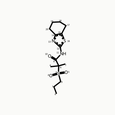 CCCS(=O)(=O)C(C)(C)C(=O)Nc1nc2c(s1)CCCC2